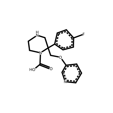 O=C(O)N1CCNCC1(COc1cccnc1)c1ccc(F)cc1